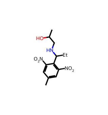 CCC(NCC(C)O)c1c([N+](=O)[O-])cc(C)cc1[N+](=O)[O-]